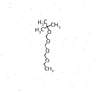 CCOCOCOCOC(C)(C)C